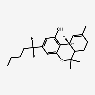 CCCCC(F)(F)c1cc(O)c2c(c1)OC(C)(C)C1CCC(C)=C[C@@H]21